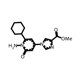 COC(=O)c1cn(-c2cc(C3CCCCC3)n(N)c(=O)c2)cn1